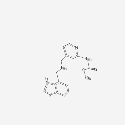 CC(C)(C)OC(=O)Nc1cc(CNCc2cccc3nc[nH]c23)ccn1